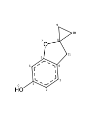 Oc1ccc2c(c1)OC1(CC1)C2